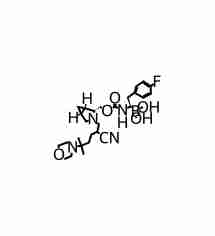 CC(C)(CCC(C#N)CN1C[C@@H]2C[C@@H]2[C@@H]1COC(=O)N[C@@H](Cc1ccc(F)cc1)B(O)O)N1CCOCC1